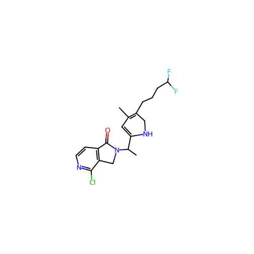 CC1=C(CCCC(F)F)CNC(C(C)N2Cc3c(ccnc3Cl)C2=O)=C1